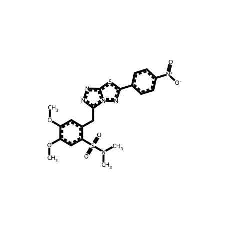 COc1cc(Cc2nnc3sc(-c4ccc([N+](=O)[O-])cc4)nn23)c(S(=O)(=O)N(C)C)cc1OC